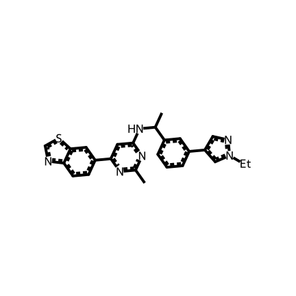 CCn1cc(-c2cccc(C(C)Nc3cc(-c4ccc5ncsc5c4)nc(C)n3)c2)cn1